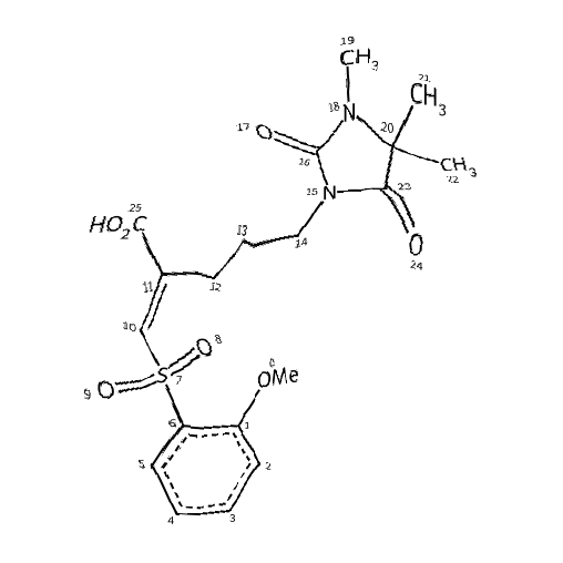 COc1ccccc1S(=O)(=O)C=C(CCCN1C(=O)N(C)C(C)(C)C1=O)C(=O)O